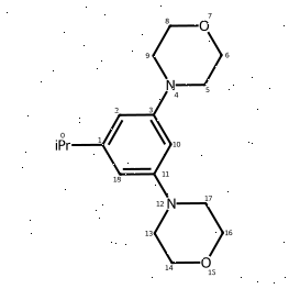 CC(C)c1cc(N2CCOCC2)cc(N2CCOCC2)c1